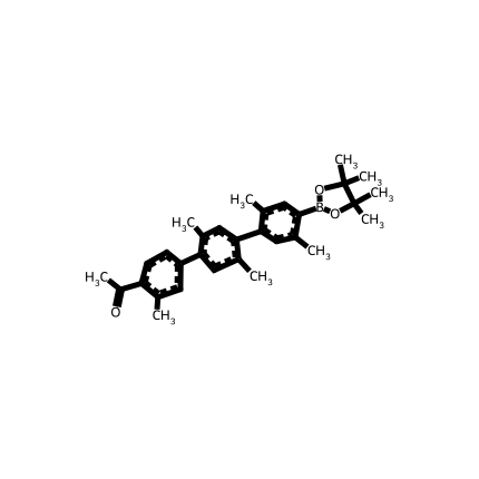 CC(=O)c1ccc(-c2cc(C)c(-c3cc(C)c(B4OC(C)(C)C(C)(C)O4)cc3C)cc2C)cc1C